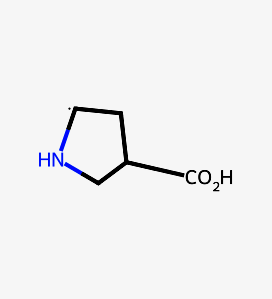 O=C(O)C1C[CH]NC1